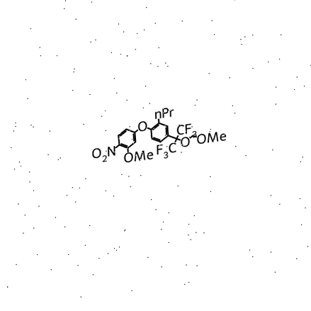 CCCc1cc(C(OCOC)(C(F)(F)F)C(F)(F)F)ccc1Oc1ccc([N+](=O)[O-])c(OC)c1